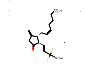 C=C1CC(=O)[C@H](/C=C/C(F)(F)CCCCC)[C@H]1C/C=C\CCCC(=O)O